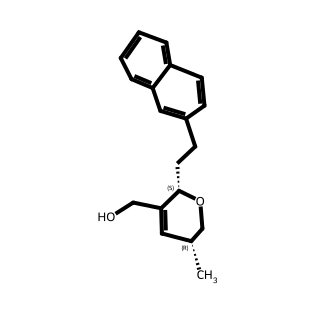 C[C@@H]1C=C(CO)[C@H](CCc2ccc3ccccc3c2)OC1